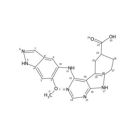 COc1cc2[nH]ncc2cc1Nc1ncnc2[nH]c3c(c12)CC(C(=O)O)CC3